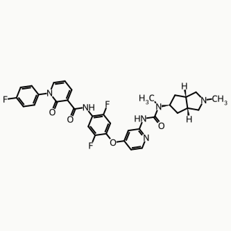 CN1C[C@H]2C[C@H](N(C)C(=O)Nc3cc(Oc4cc(F)c(NC(=O)c5cccn(-c6ccc(F)cc6)c5=O)cc4F)ccn3)C[C@H]2C1